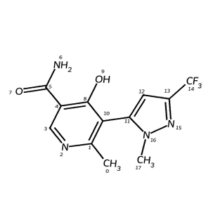 Cc1ncc(C(N)=O)c(O)c1-c1cc(C(F)(F)F)nn1C